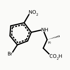 C[C@H](CC(=O)O)Nc1cc(Br)ccc1[N+](=O)[O-]